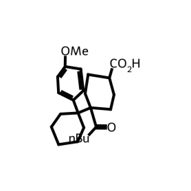 CCCCC(=O)C1(C2(c3ccc(OC)cc3)CCCCC2)CCC(C(=O)O)CC1